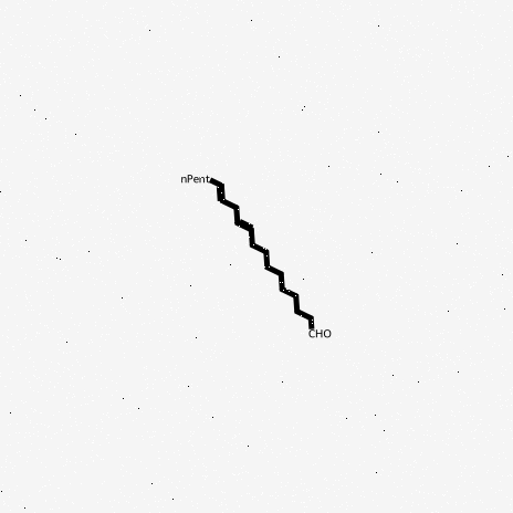 CCCCCC=CCC=CCCCCCCCCC=O